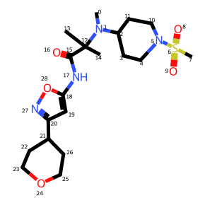 CN(C1CCN(S(C)(=O)=O)CC1)C(C)(C)C(=O)Nc1cc(C2CCOCC2)no1